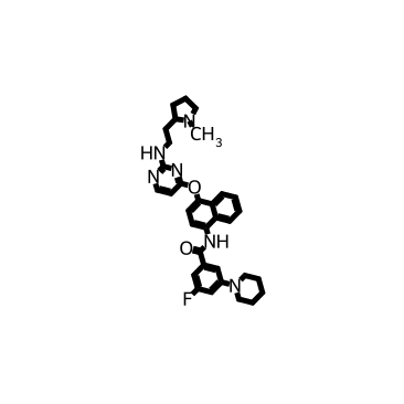 CN1CCCC1CCNc1nccc(Oc2ccc(NC(=O)c3cc(F)cc(N4CCCCC4)c3)c3ccccc23)n1